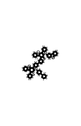 c1ccc(-c2ccc(-n3c4cc(-c5ccc6sc7c(c6c5)c5c6ccccc6oc5c5c6ccccc6n(-c6ccc8oc9ccccc9c8c6)c75)ccc4c4c5oc6ccccc6c5c5c6ccccc6sc5c43)cc2)cc1